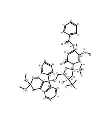 COC1(OC)C=CC(C(OC[C@H]2O[C@](n3cc([Se]C)c(NC(=O)c4ccccc4)nc3=O)([SiH](C)C)C[C@@]2(O)C(C)(C)C)(c2ccccc2)c2ccccc2)=CC1